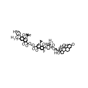 COc1c(N2CCN(C(=O)OC[CH]C(=O)[C@@]3(O)CCC4C5CCC6=CC(=O)C=C[C@]6(C)C5[C@@H](O)C[C@@]43C)C(C)C2)c(F)cc2c(=O)c(C(=O)OCOC(=O)c3cn(C4CC4)c4c(OC)c(N5CCNCC5C)c(F)cc4c3=O)cn(C3CC3)c12